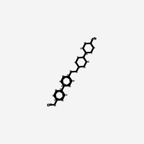 CCCC1CCC(C2CCC(CCc3ccc(-c4ccc(CCl)cc4)cc3)CC2)CC1